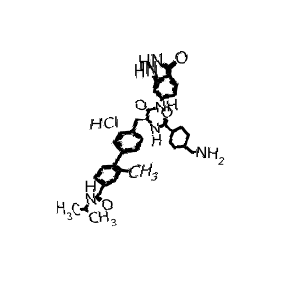 Cc1cc(C(=O)NC(C)C)ccc1-c1ccc(C[C@H](NC(=O)C2CCC(CN)CC2)C(=O)Nc2ccc3c(=O)[nH][nH]c3c2)cc1.Cl